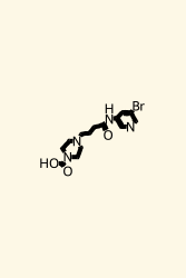 O=C(CCCN1CCN(C(=O)O)CC1)Nc1cncc(Br)c1